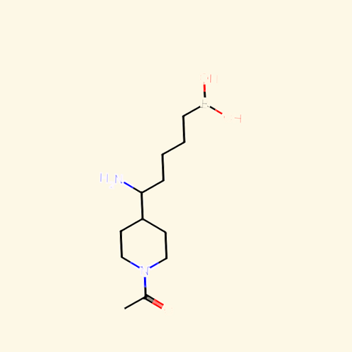 CC(=O)N1CCC(C(N)CCCCB(O)O)CC1